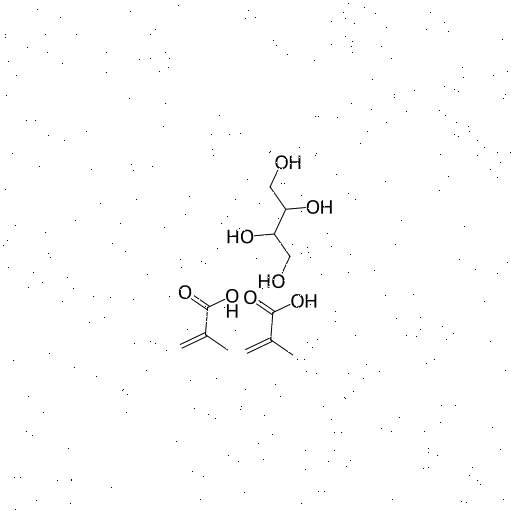 C=C(C)C(=O)O.C=C(C)C(=O)O.OCC(O)C(O)CO